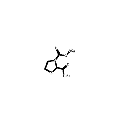 CCCCOC(=O)N1CCSC1C(=O)OC